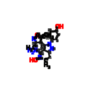 CCc1nn(-c2ccc(O)cc2C)c(-c2c(C)noc2C)c1/C(N)=N/O